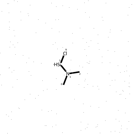 CN(C)[SiH]Cl